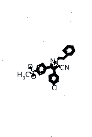 CS(=O)(=O)c1ccc(-c2nn(CCc3ccccc3)c(C#N)c2-c2ccc(Cl)cc2)cc1